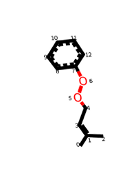 CC(C)=CCOOc1ccccc1